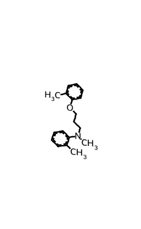 Cc1ccccc1OCCCN(C)c1ccccc1C